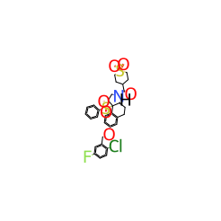 O=C(C1CCS(=O)(=O)CC1)N1CC[C@@]2(S(=O)(=O)c3ccccc3)c3ccc(OCc4cc(F)ccc4Cl)cc3CC[C@@H]12